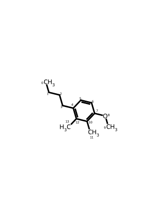 CCCCc1ccc(OC)c(C)c1C